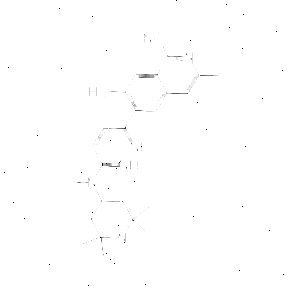 Cc1cc2cc(C(=N)/C=C\C(=N)N(C)C3CC(C)(C)NC(C)(C)C3)c(O)cc2c(C#N)n1